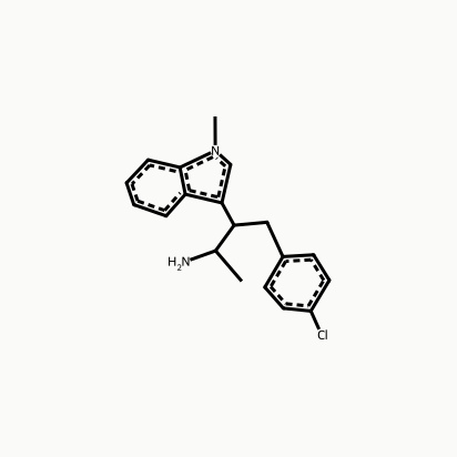 CC(N)C(Cc1ccc(Cl)cc1)c1cn(C)c2ccccc12